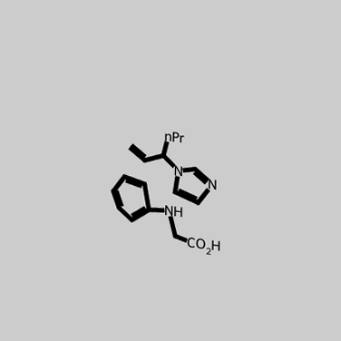 C=CC(CCC)n1ccnc1.O=C(O)CNc1ccccc1